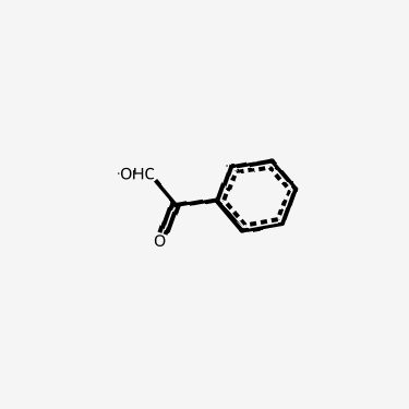 O=[C]C(=O)c1[c]cccc1